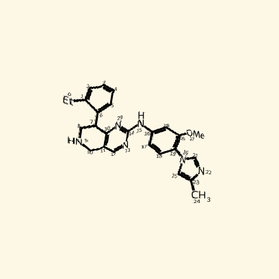 CCc1ccccc1C1CNCc2cnc(Nc3ccc(-n4cnc(C)c4)c(OC)c3)nc21